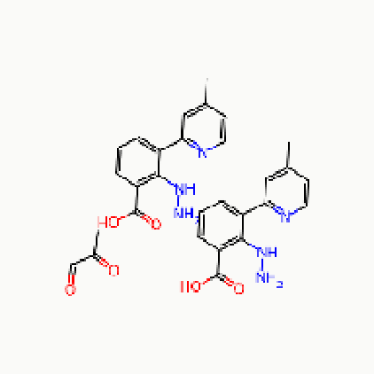 CC(=O)C=O.Cc1ccnc(-c2cccc(C(=O)O)c2NN)c1.Cc1ccnc(-c2cccc(C(=O)O)c2NN)c1